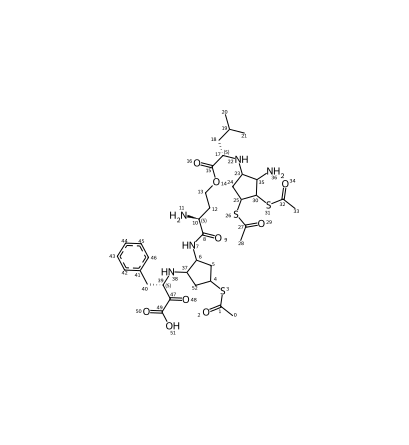 CC(=O)SC1CC(NC(=O)[C@@H](N)CCOC(=O)[C@H](CC(C)C)NC2CC(SC(C)=O)C(SC(C)=O)C2N)C(N[C@@H](Cc2ccccc2)C(=O)C(=O)O)C1